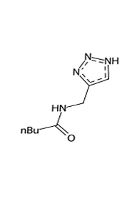 CCCCC(=O)NCc1c[nH]nn1